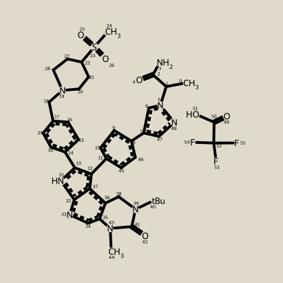 CC(C(N)=O)n1cc(-c2ccc(-c3c(-c4ccc(CN5CCC(S(C)(=O)=O)CC5)cc4)[nH]c4ncc5c(c34)CN(C(C)(C)C)C(=O)N5C)cc2)cn1.O=C(O)C(F)(F)F